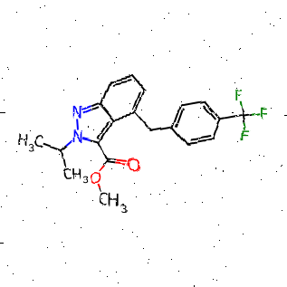 COC(=O)c1c2c(Cc3ccc(C(F)(F)F)cc3)cccc2nn1C(C)C